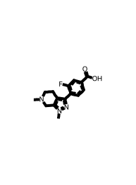 CN1CCc2c(-c3ccc(C(=O)O)cc3F)nn(C)c2C1